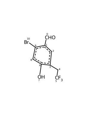 O=Cc1cc(CC(F)(F)F)c(O)cc1Br